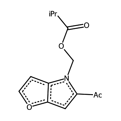 CC(=O)c1cc2occc2n1COC(=O)C(C)C